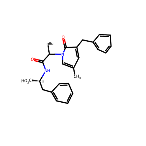 CCCCC(C(=O)N[C@@H](Cc1ccccc1)C(=O)O)n1cc(C)cc(Cc2ccccc2)c1=O